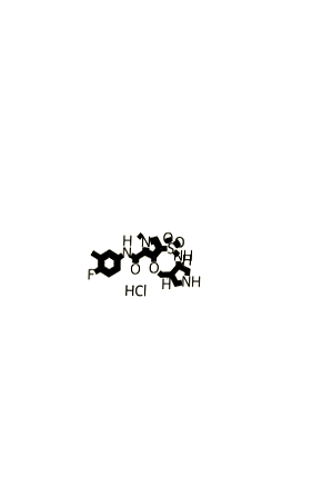 Cc1cc(NC(=O)c2c3c(cn2C)S(=O)(=O)N[C@H]2CNC[C@@H]2CO3)ccc1F.Cl